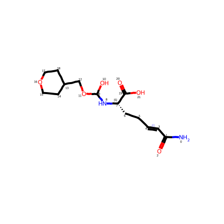 NC(=O)/C=C/CC[C@H](NC(O)OCC1CCOCC1)C(=O)O